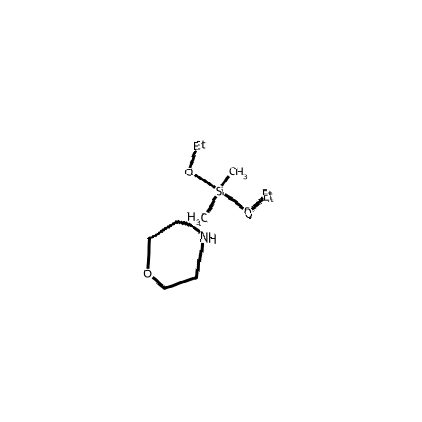 C1COCCN1.CCO[Si](C)(C)OCC